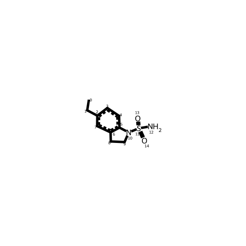 CCc1ccc2c(c1)CCN2S(N)(=O)=O